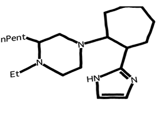 CCCCCC1CN(C2CCCCCC2c2ncc[nH]2)CCN1CC